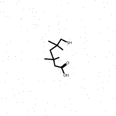 CC(C)(CS)CC(C)(C)CC(=O)O